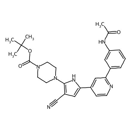 CC(=O)Nc1cccc(-c2cc(-c3cc(C#N)c(N4CCN(C(=O)OC(C)(C)C)CC4)[nH]3)ccn2)c1